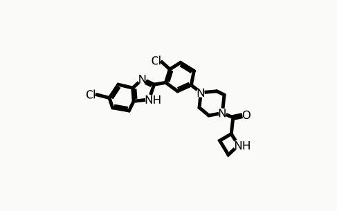 O=C(C1CCN1)N1CCN(c2ccc(Cl)c(-c3nc4cc(Cl)ccc4[nH]3)c2)CC1